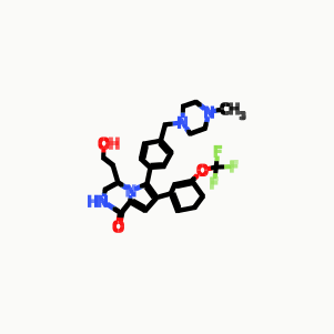 CN1CCN(Cc2ccc(-c3c(C4=CCCC(OC(F)(F)F)=C4)cc4n3C(CCO)CNC4=O)cc2)CC1